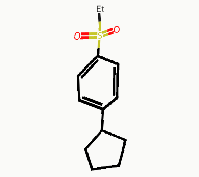 CCS(=O)(=O)c1ccc(C2CCCC2)cc1